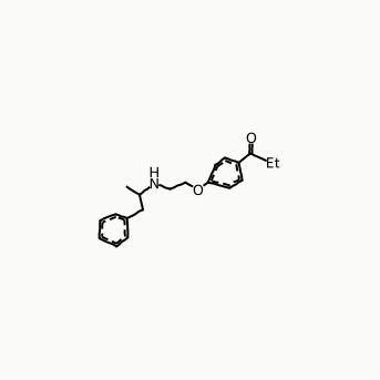 CCC(=O)c1ccc(OCCNC(C)Cc2ccccc2)cc1